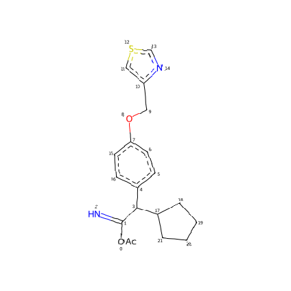 CC(=O)OC(=N)C(c1ccc(OCc2cscn2)cc1)C1CCCC1